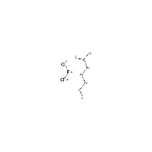 CCCCCC(C)C.Cl[P]Cl